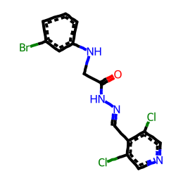 O=C(CNc1cccc(Br)c1)N/N=C/c1c(Cl)cncc1Cl